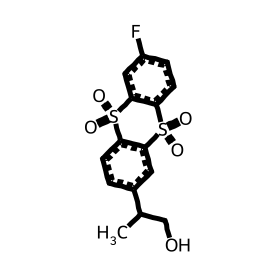 CC(CO)c1ccc2c(c1)S(=O)(=O)c1ccc(F)cc1S2(=O)=O